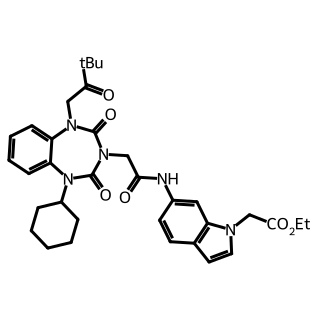 CCOC(=O)Cn1ccc2ccc(NC(=O)CN3C(=O)N(CC(=O)C(C)(C)C)c4ccccc4N(C4CCCCC4)C3=O)cc21